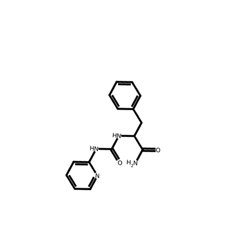 NC(=O)C(Cc1ccccc1)NC(=O)Nc1ccccn1